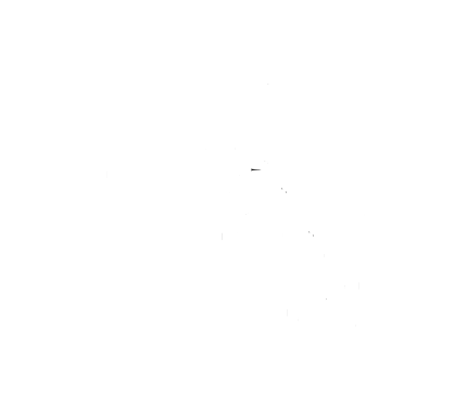 COc1ccc(OCc2c(Cl)cc(F)cc2[C@H](C)N(CC(=O)O)CC(C)N(C)C(=O)OC(C)(C)C)cc1